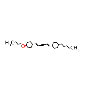 CCCCC[C@H]1CC[C@H](C=CC#CC=C[C@H]2CC[C@H](OCCCC)CC2)CC1